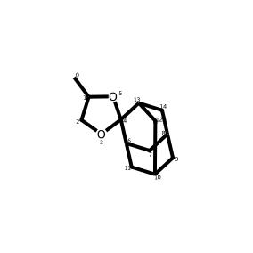 CC1COC2(O1)C1CC3CC(C1)CC2C3